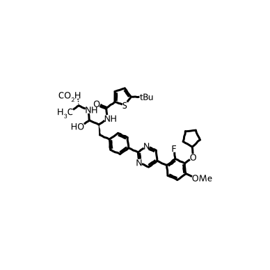 COc1ccc(-c2cnc(-c3ccc(C[C@H](NC(=O)c4ccc(C(C)(C)C)s4)C(O)N[C@H](C)C(=O)O)cc3)nc2)c(F)c1OC1CCCC1